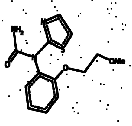 COCCOc1ccccc1N(C(N)=O)c1nccs1